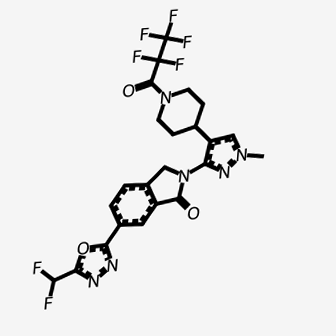 Cn1cc(C2CCN(C(=O)C(F)(F)C(F)(F)F)CC2)c(N2Cc3ccc(-c4nnc(C(F)F)o4)cc3C2=O)n1